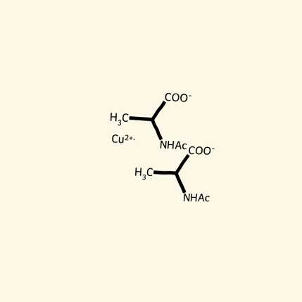 CC(=O)NC(C)C(=O)[O-].CC(=O)NC(C)C(=O)[O-].[Cu+2]